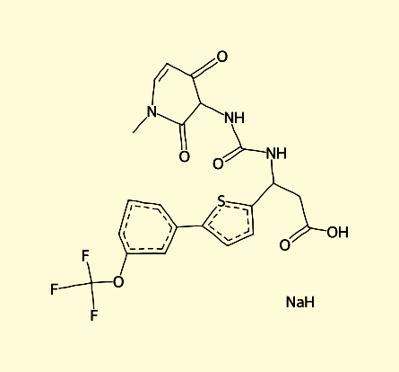 CN1C=CC(=O)C(NC(=O)NC(CC(=O)O)c2ccc(-c3cccc(OC(F)(F)F)c3)s2)C1=O.[NaH]